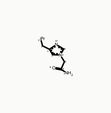 CC(C)Cc1cn(CC(N)=O)cn1